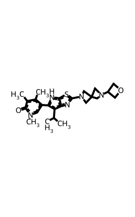 Cc1c(-c2[nH]c3sc(N4CC5(C4)CN(C4COC4)C5)nc3c2C(C)C)cn(C)c(=O)c1C